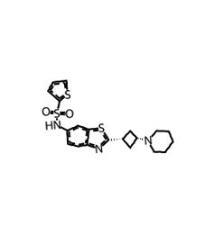 O=S(=O)(Nc1ccc2nc([C@H]3C[C@@H](N4CCCCC4)C3)sc2c1)c1cccs1